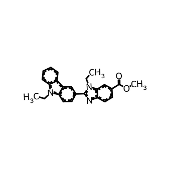 CCn1c(-c2ccc3c(c2)c2ccccc2n3CC)nc2ccc(C(=O)OC)cc21